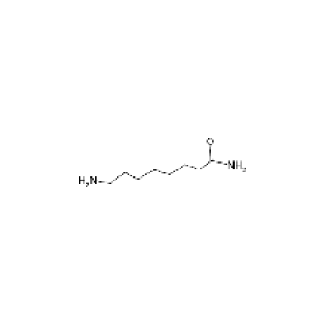 NCCCCCCCC(N)=O